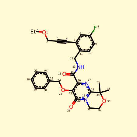 CCOCC#Cc1cc(F)ccc1CNC(=O)c1nc2n(c(=O)c1OCc1ccccc1)CCOC2(C)C